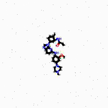 C=CC(=O)Nc1cc(-n2cnc3ccc(Nc4ccc(N5CCN(C)CC5)cc4OC)nc32)ccc1C